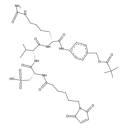 CC(C)[C@@H](NC(=O)[C@@H](CS(=O)(=O)O)NC(=O)CCCCCN1C(=O)C=CC1=O)C(=O)N[C@H](CCCCNC(N)=O)C(=O)Nc1ccc(COC(=O)C(C)(C)C)cc1